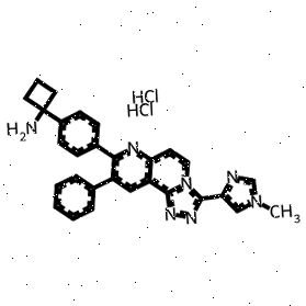 Cl.Cl.Cn1cnc(-c2nnc3c4cc(-c5ccccc5)c(-c5ccc(C6(N)CCC6)cc5)nc4ccn23)c1